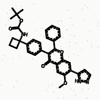 COc1cc2c(=O)c(-c3ccc(C4(NC(=O)OC(C)(C)C)CCC4)cc3)c(-c3ccccc3)oc2cc1-c1ccn[nH]1